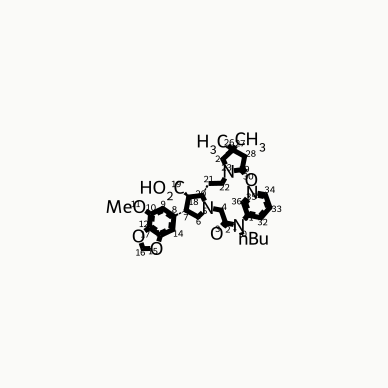 CCCCN(C(=O)CN1C[C@H](c2cc(OC)c3c(c2)OCO3)[C@@H](C(=O)O)[C@@H]1CCN1CC(C)(C)CC1=O)c1cccnc1